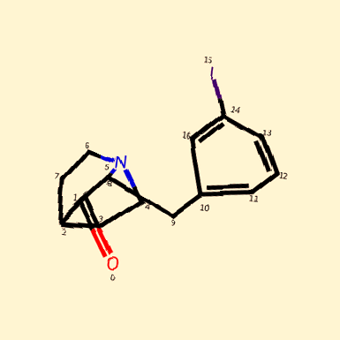 O=C1C2CCN(CC2)C1Cc1cccc(I)c1